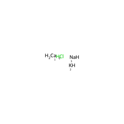 Cl.[CaH2].[KH].[NaH]